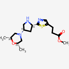 COC(=O)CCc1cnc([C@@H]2C[C@H](N3C[C@@H](C)O[C@@H](C)C3)CN2)s1